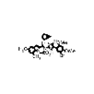 C1CC2CC2C1.CCc1sc(NC(=O)c2cc3cc(C)cc(C)c3n2CC(=O)O)nc1-c1cc(Br)c(OC)cc1OC